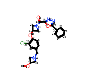 COC1CN(Cc2ccc(OC3CN(C(=O)c4nnc(-c5ccccc5)o4)C3)c(Cl)c2)C1